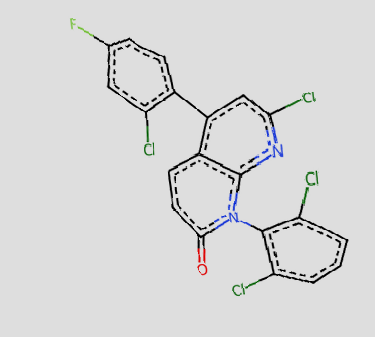 O=c1ccc2c(-c3ccc(F)cc3Cl)cc(Cl)nc2n1-c1c(Cl)cccc1Cl